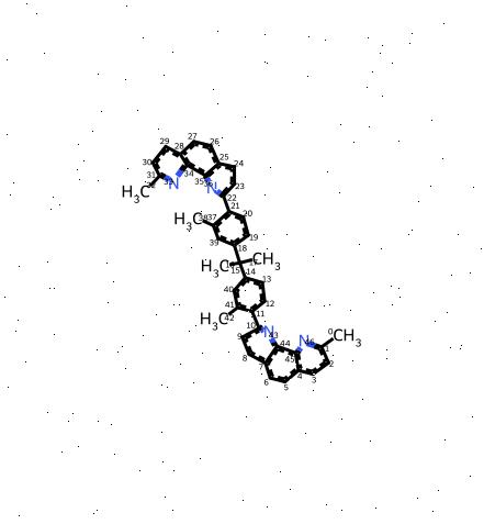 Cc1ccc2ccc3ccc(-c4ccc(C(C)(C)c5ccc(-c6ccc7ccc8ccc(C)nc8c7n6)c(C)c5)cc4C)nc3c2n1